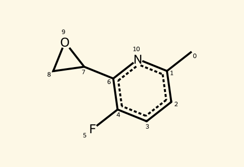 Cc1ccc(F)c(C2CO2)n1